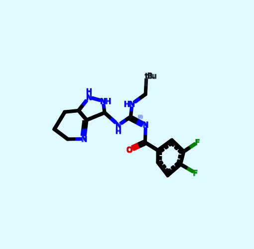 CC(C)(C)CN/C(=N/C(=O)c1ccc(F)c(F)c1)NC1NNC2CCCN=C21